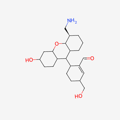 NC[C@H]1CCCC2C(C3CCC(CO)C=C3C=O)C3CCC(O)CC3OC21